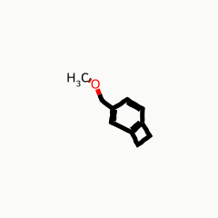 COCc1ccc2c(c1)CC2